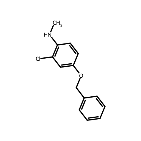 CNc1ccc(OCc2ccccc2)cc1Cl